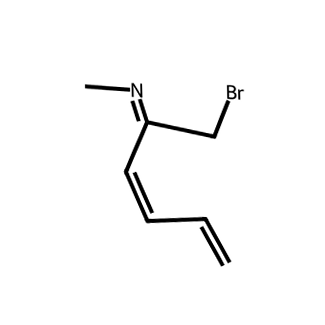 C=C/C=C\C(CBr)=N/C